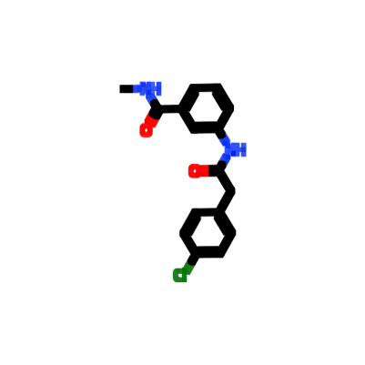 CNC(=O)c1cccc(NC(=O)Cc2ccc(Cl)cc2)c1